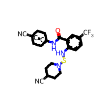 N#CC1CCN(SNc2ccc(C(F)(F)F)cc2C(=O)NC23CCC(C#N)(CC2)CC3)CC1